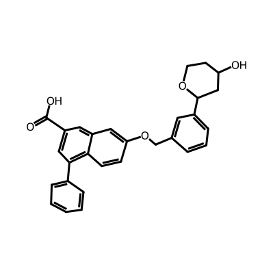 O=C(O)c1cc(-c2ccccc2)c2ccc(OCc3cccc(C4CC(O)CCO4)c3)cc2c1